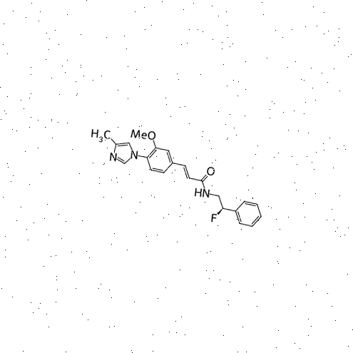 COc1cc(/C=C/C(=O)NC[C@H](F)c2ccccc2)ccc1-n1cnc(C)c1